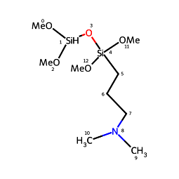 CO[SiH](OC)O[Si](CCCN(C)C)(OC)OC